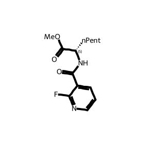 CCCCC[C@H](NC(=O)c1cccnc1F)C(=O)OC